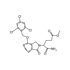 COC(=O)CCC(C(N)=O)N1Cc2c(OCc3c(Cl)cc(Cl)cc3Cl)cccc2C1=O